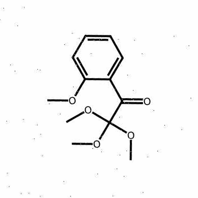 COc1ccccc1C(=O)C(OC)(OC)OC